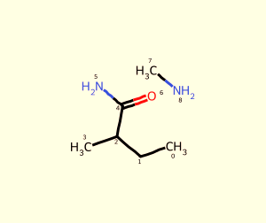 CCC(C)C(N)=O.CN